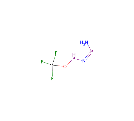 N/P=N\POC(F)(F)F